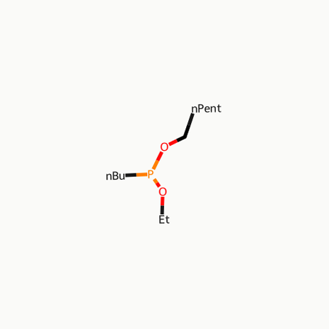 CCCCCCOP(CCCC)OCC